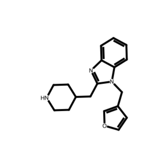 c1ccc2c(c1)nc(CC1CCNCC1)n2Cc1ccoc1